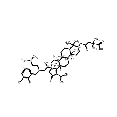 CC(C)C1=C2[C@H]3CC[C@@H]4[C@@]5(C)CC[C@H](OC(=O)CC(C)(C)C(=O)O)C(C)(C)C5CC[C@@]4(C)[C@]3(C)CC[C@@]2([C@H](O)CN(CCN(C)C)Cc2cccc(Cl)c2F)CC1=O